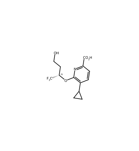 O=C(O)c1ccc(C2CC2)c(O[C@@H](CCO)C(F)(F)F)n1